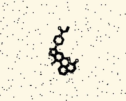 C=CC(=O)N1CCN(c2snc3c(F)c(-c4cccc5ccc(=O)[nH]c45)c(Cl)cc23)CC1